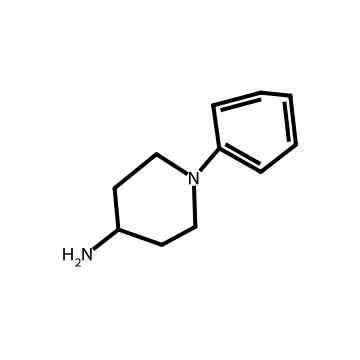 NC1CCN(c2ccccc2)CC1